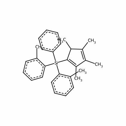 CC1=C(C)C(C)C([Si](c2ccccc2)(c2ccccc2C)c2ccccc2C)=C1C